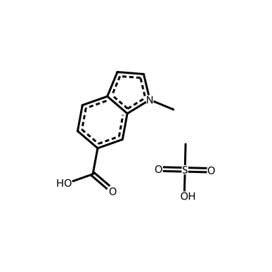 CS(=O)(=O)O.Cn1ccc2ccc(C(=O)O)cc21